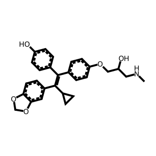 CNCC(O)COc1ccc(/C(=C(/c2ccc3c(c2)OCO3)C2CC2)c2ccc(O)cc2)cc1